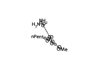 CCCCCc1ccc(C(=O)Oc2ccc(OC(=O)c3ccc(C=CC(=O)OC)cc3)cc2C(=O)OCCCCCCCCCCCOC(=O)c2cc(N)cc(N)c2)cc1